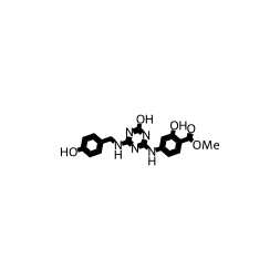 COC(=O)c1ccc(Nc2nc(O)nc(NCc3ccc(O)cc3)n2)cc1O